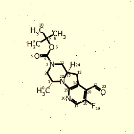 C[C@@H]1CN(C(=O)OC(C)(C)C)C[C@H]2Cc3c(ncc(F)c3C=O)N21